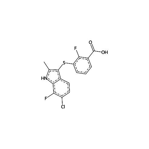 Cc1[nH]c2c(F)c(Cl)ccc2c1Sc1cccc(C(=O)O)c1F